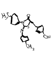 Cc1ccc(/N=C2\S/C(=C\c3ccc(O)cc3)C(=O)N2c2ccc(C)cc2)cc1